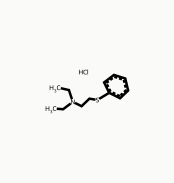 CCN(CC)CCSc1ccccc1.Cl